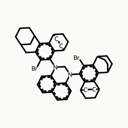 Brc1c2c(c3c(c1N1CN(c4c(Br)c5c(c6c4C4CCC6CC4)C4CCC5CC4)c4cccc5cccc1c45)C1CCC3CC1)C1CCCC(C2)C1